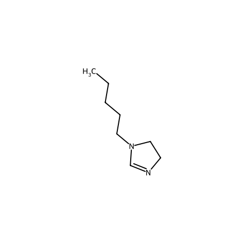 CCCCCN1C=NCC1